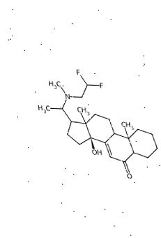 CC(C1CC[C@@]2(O)C3=CC(=O)C4CCCCC4(C)C3CCC12C)N(C)CC(F)F